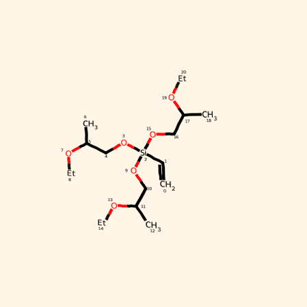 C=C[Si](OCC(C)OCC)(OCC(C)OCC)OCC(C)OCC